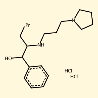 CC(C)CC(NCCCN1CCCC1)C(O)c1ccccc1.Cl.Cl